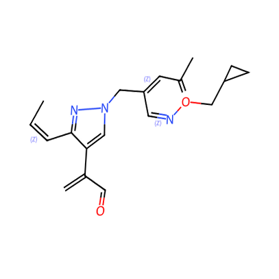 C=C(C)/C=C(\C=N/OCC1CC1)Cn1cc(C(=C)C=O)c(/C=C\C)n1